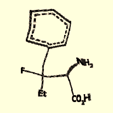 CCC(F)(c1ccccc1)C(N)C(=O)O